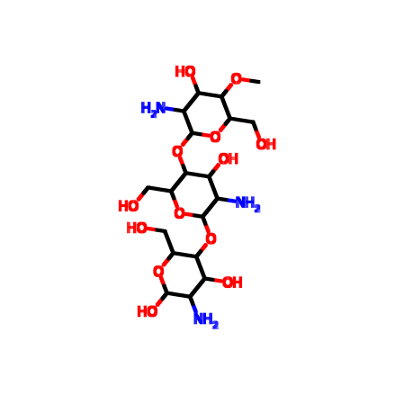 COC1C(CO)OC(OC2C(CO)OC(OC3C(CO)OC(O)C(N)C3O)C(N)C2O)C(N)C1O